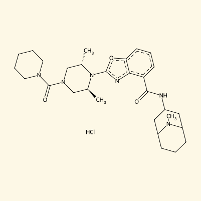 C[C@H]1CN(C(=O)N2CCCCC2)C[C@H](C)N1c1nc2c(C(=O)NC3CC4CCCC(C3)N4C)cccc2o1.Cl